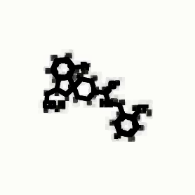 O=C(O)CC1CC2(CCN(C(=O)NCc3ccccc3C(F)(F)F)CC2)c2c(Br)cccc21